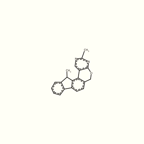 Cc1ncc2c(n1)OCc1ccc3c(c1-2)C(C)c1ccccc1-3